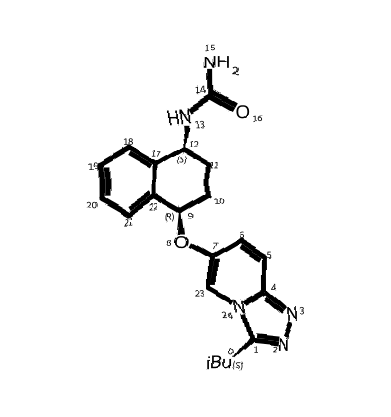 CC[C@H](C)c1nnc2ccc(O[C@@H]3CC[C@H](NC(N)=O)c4ccccc43)cn12